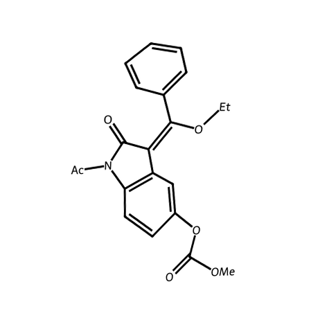 CCOC(=C1C(=O)N(C(C)=O)c2ccc(OC(=O)OC)cc21)c1ccccc1